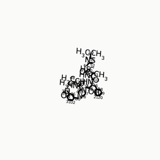 CC(C)c1nc(CSC(=O)N[C@H](C(=O)N[C@@H](Cc2ccccc2)[C@@H](O)CN2CCN(Cc3ccc4c(c3)OCO4)C[C@H]2C(=O)NC(C)(C)C)C(C)C)cs1